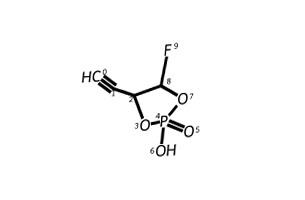 C#CC1OP(=O)(O)OC1F